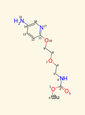 CC(C)(C)OC(=O)NCCOCCOc1ccc(N)cn1